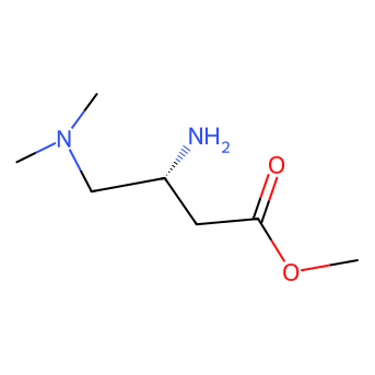 COC(=O)C[C@@H](N)CN(C)C